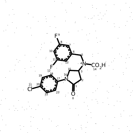 O=C1CC(N(Cc2cc(F)cc(F)c2)C(=O)O)CN1c1ccc(Cl)cc1